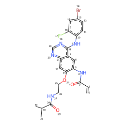 C=CC(=O)Nc1cc2c(Nc3ccc(Br)cc3F)ncnc2cc1OCCNC(=O)C(C)C